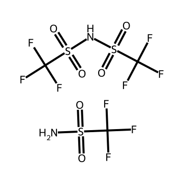 NS(=O)(=O)C(F)(F)F.O=S(=O)(NS(=O)(=O)C(F)(F)F)C(F)(F)F